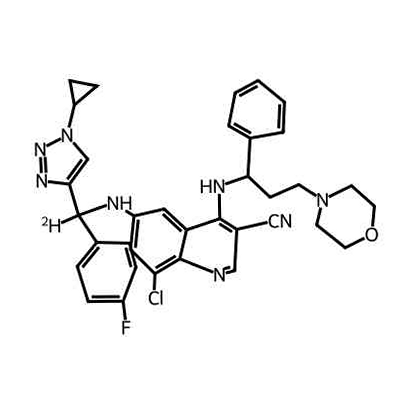 [2H]C(Nc1cc(Cl)c2ncc(C#N)c(NC(CCN3CCOCC3)c3ccccc3)c2c1)(c1ccc(F)cc1)c1cn(C2CC2)nn1